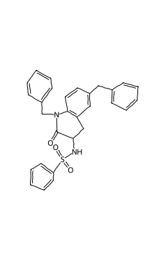 O=C1C(NS(=O)(=O)c2ccccc2)Cc2cc(Cc3ccccc3)ccc2N1Cc1ccccc1